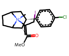 C=C(CI)[N+]1(C)C2CCC1[C@@H](C(=O)OC)[C@@H](c1ccc(Cl)cc1)C2